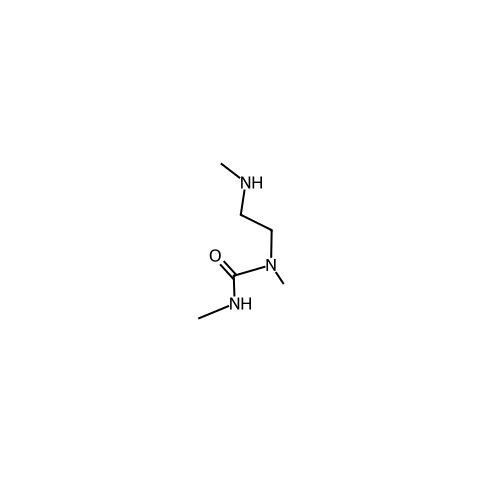 CNCCN(C)C(=O)NC